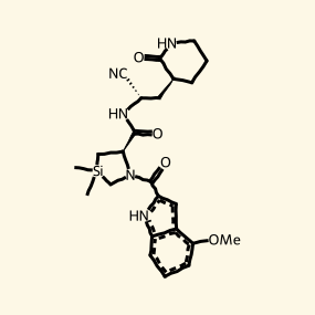 COc1cccc2[nH]c(C(=O)N3C[Si](C)(C)C[C@H]3C(=O)N[C@H](C#N)C[C@@H]3CCCNC3=O)cc12